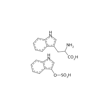 NC(Cc1c[nH]c2ccccc12)C(=O)O.O=S(=O)(O)Oc1c[nH]c2ccccc12